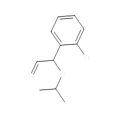 CC(C)OC([C]=O)c1ccccc1Cl